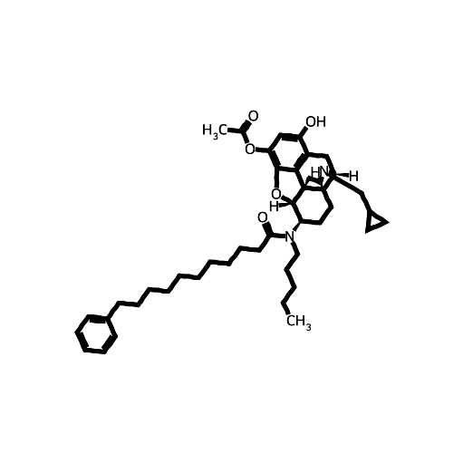 CCCCCN(C(=O)CCCCCCCCCCc1ccccc1)[C@@H]1CC[C@H]2[C@H]3Cc4c(O)cc(OC(C)=O)c5c4[C@@]2(CCN3CC2CC2)[C@H]1O5